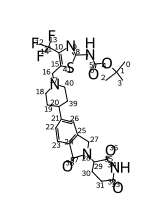 CC(C)(C)OC(=O)Nc1nc(C(F)(F)F)c(CN2CCC(c3ccc4c(c3)CN(C3CCC(=O)NC3=O)C4=O)CC2)s1